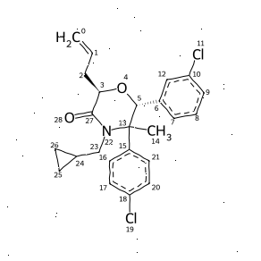 C=CC[C@H]1O[C@H](c2cccc(Cl)c2)C(C)(c2ccc(Cl)cc2)N(CC2CC2)C1=O